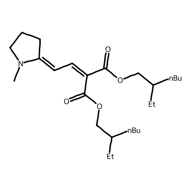 CCCCC(CC)COC(=O)C(=C/C=C1\CCCN1C)C(=O)OCC(CC)CCCC